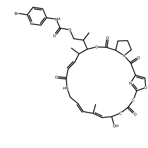 CC1=C\C(O)CC(=O)Cc2nc(co2)C(=O)N2CCCC2C(=O)OC(C(C)COC(=O)Nc2ccc(Br)nc2)C(C)/C=C/C(=O)NC\C=C\1